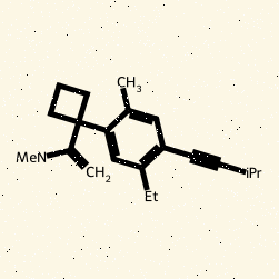 C=C(NC)C1(c2cc(CC)c(C#CC(C)C)cc2C)CCC1